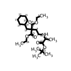 CCOC(=O)C(CCNC(C)C(=O)OC(C)(C)C)(CC1CCCCC1)C(=O)OCC